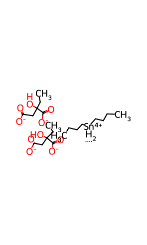 CCC(O)(CC(=O)[O-])C(=O)[O-].CCC(O)(CC(=O)[O-])C(=O)[O-].CCC[CH2][SnH2+4][CH2]CCC